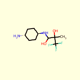 CC(O)(C(O)N[C@H]1CC[C@H](N)CC1)C(F)(F)F